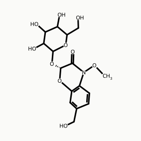 CON1C(=O)[C@@H](OC2OC(CO)C(O)C(O)C2O)Oc2cc(CO)ccc21